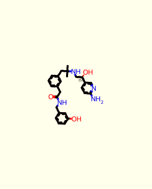 CC(C)(Cc1cccc(CC(=O)NCc2cccc(O)c2)c1)NC[C@@H](O)c1ccc(N)nc1